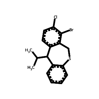 CC(C)C1c2ccccc2SCc2c1ccc(Cl)c2Br